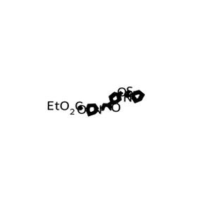 CCOC(=O)OC1CCN(CCc2coc3cc(Oc4nc5ccccc5s4)ccc23)CC1